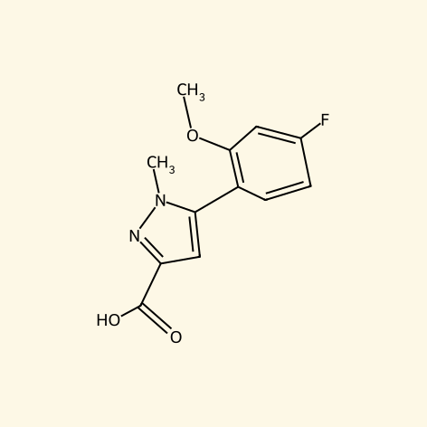 COc1cc(F)ccc1-c1cc(C(=O)O)nn1C